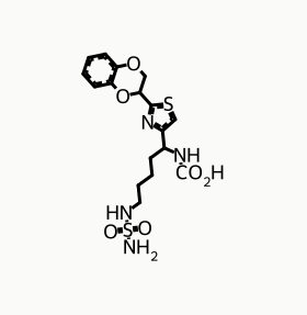 NS(=O)(=O)NCCCCC(NC(=O)O)c1csc(C2COc3ccccc3O2)n1